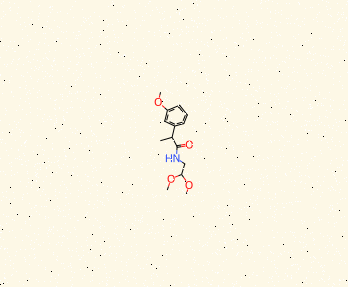 COc1cccc(C(C)C(=O)NCC(OC)OC)c1